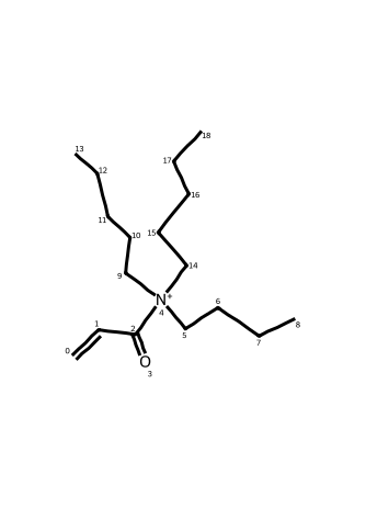 C=CC(=O)[N+](CCCC)(CCCCC)CCCCC